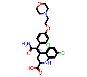 NC(=O)/C(=C1\CC(C(=O)O)Nc2cc(Cl)cc(Cl)c21)c1ccc(OCCN2CCOCC2)cc1